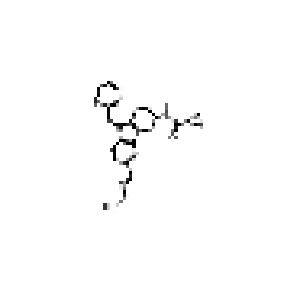 CO/N=C/c1ccc2c(c1)c1c(n2Cc2ccccn2)CCC(NC(=O)C2CC2)C1